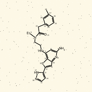 CCN(CCNc1cc(N)nc2cc(-c3ccn[nH]3)sc12)C(=O)Cc1cccc(C)c1